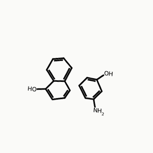 Nc1cccc(O)c1.Oc1cccc2ccccc12